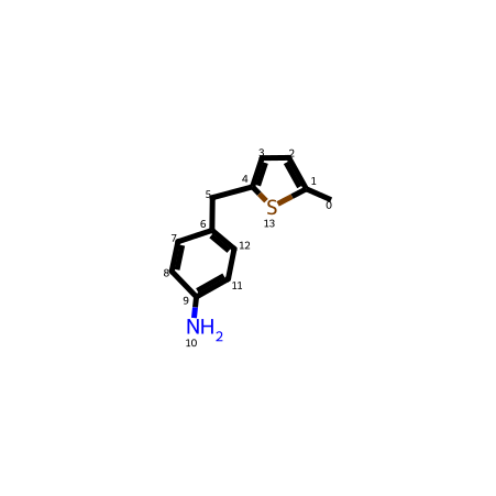 Cc1ccc(Cc2ccc(N)cc2)s1